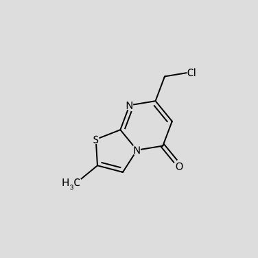 Cc1cn2c(=O)cc(CCl)nc2s1